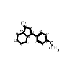 COc1ccc(C2=CC(=O)C3CCCCC23)cc1